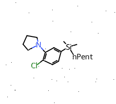 CCCCC[Si](C)(C)c1ccc(Cl)c(N2CCCC2)c1